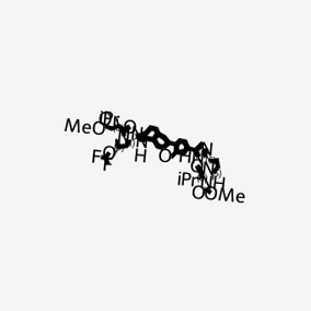 COC(=O)C[C@H](C(=O)N1C[C@@H](COC(F)F)C[C@H]1c1nc2ccc3cc4c(cc3c2[nH]1)OCc1cc(-c2cnc([C@@H]3CC[C@H](C)N3C(=O)[C@@H](NC(=O)OC)C(C)C)[nH]2)ccc1-4)C(C)C